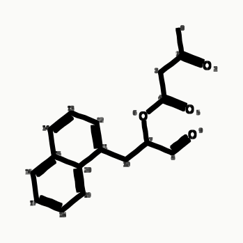 CC(=O)CC(=O)OC(C=O)Cc1cccc2ccccc12